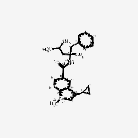 CC(C)CC(C)(Cc1ccccc1)NC(=O)c1cnc2c(c1)c(C1CC1)cn2C